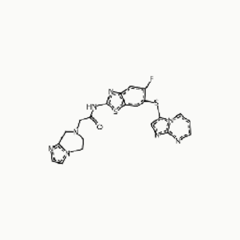 O=C(CN1CCn2ccnc2C1)Nc1nc2cc(F)c(Sc3cnc4ncccn34)cc2s1